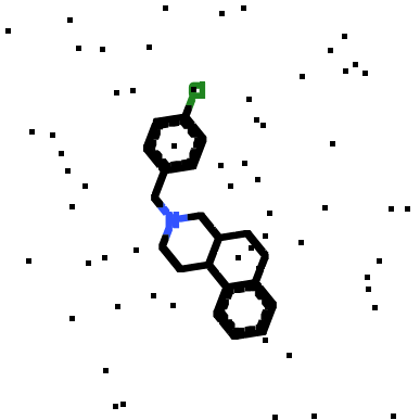 Clc1ccc(CN2CCC3c4ccccc4CCC3C2)cc1